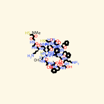 CN[C@@H](CS)C(=O)C(=O)CNC(=O)C(C)NC(=O)[C@H](CCCCN)NC(=O)C(CCCNC(=N)N)NNC(CS)C(=O)N[C@@H](CCCCN)C(=O)NC(CC(N)=O)C(=O)N[C@@H](Cc1ccccc1)C(=O)NC(Cc1ccccc1)C(=O)N[C@@H](Cc1c[nH]c2ccccc12)C(=O)NC(CCCCN)C(=O)N[C@H](C(=O)NC(Cc1ccccc1)C(=O)N[C@H](C(=O)NC(CO)C(=O)N[C@H](C=O)CS)[C@@H](C)O)[C@@H](C)O